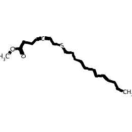 CCCCCCCCCCCCSCC=C=CCCC(=O)OC